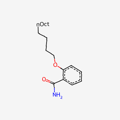 CCCCCCCCCCCCOc1ccccc1C(N)=O